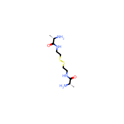 C[C@H](N)C(=O)NCCSSCCNC(=O)[C@H](C)N